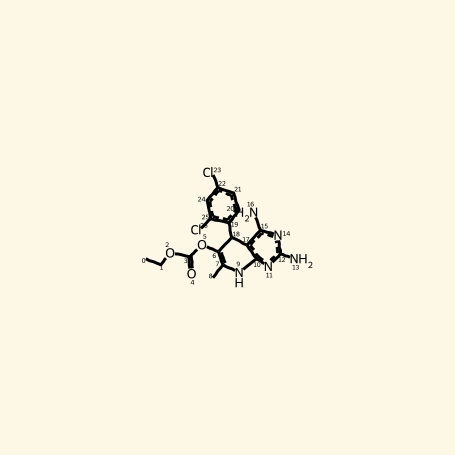 CCOC(=O)OC1=C(C)Nc2nc(N)nc(N)c2C1c1ccc(Cl)cc1Cl